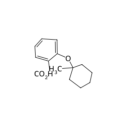 CC1(Oc2ccccc2C(=O)O)CCCCC1